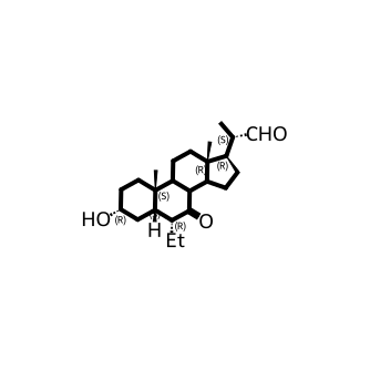 CC[C@H]1C(=O)C2C3CC[C@H]([C@H](C)C=O)[C@@]3(C)CCC2[C@@]2(C)CC[C@@H](O)C[C@@H]12